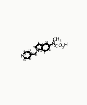 CN(C(=O)O)c1ccc2c(ccn2Cc2ccncc2)c1